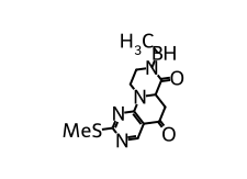 CBN1CCN2c3nc(SC)ncc3C(=O)CC2C1=O